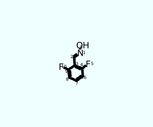 ON=Cc1c(F)[c]ccc1F